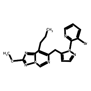 CCCc1c(Cc2ccnn2-c2ncccc2Br)ncn2nc(OC)nc12